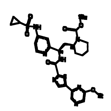 CCOc1cncc(-c2cnc(C(=O)N[C@H](C[C@@H]3CCCCN3C(=O)OC(C)(C)C)c3cc(NS(=O)(=O)C4CC4)ccn3)s2)n1